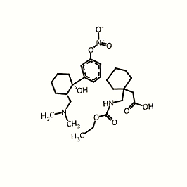 CCOC(=O)NCC1(CC(=O)O)CCCCC1.CN(C)C[C@H]1CCCC[C@@]1(O)c1cccc(O[N+](=O)[O-])c1